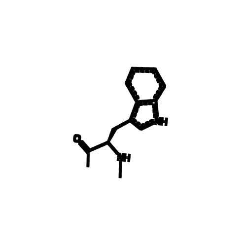 CN[C@H](Cc1c[nH]c2ccccc12)C(C)=O